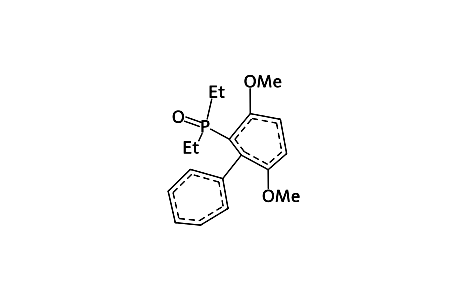 CCP(=O)(CC)c1c(OC)ccc(OC)c1-c1ccccc1